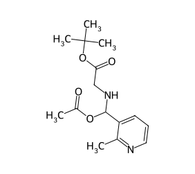 CC(=O)OC(NCC(=O)OC(C)(C)C)c1cccnc1C